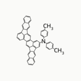 Cc1ccc(N(c2ccc(C)cc2)c2cc3c4cc5ccccc5cc4c4cc5c(cc6c7cc8ccccc8cc7c7cccc5c76)c(c2)c34)cc1